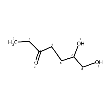 CCC(=O)CCC(O)CO